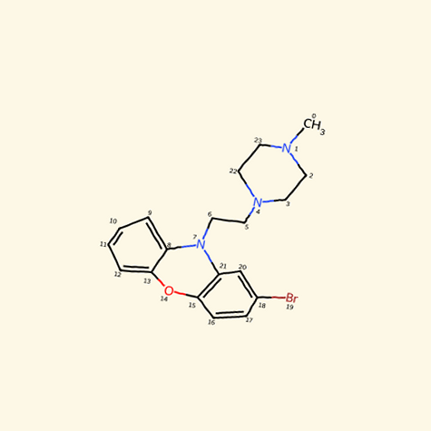 CN1CCN(CCN2c3ccccc3Oc3ccc(Br)cc32)CC1